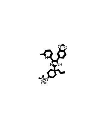 C=CCC1(c2nc(-c3cccc(C)n3)c(-c3ccc4c(c3)OCO4)[nH]2)CCC(O[Si](C)(C)C(C)(C)C)CC1